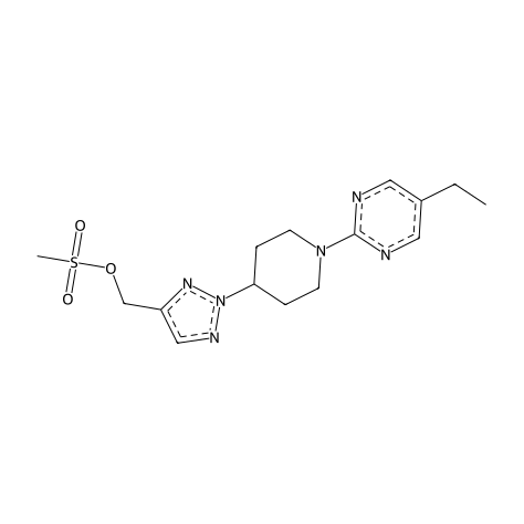 CCc1cnc(N2CCC(n3ncc(COS(C)(=O)=O)n3)CC2)nc1